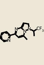 CC1=CC(c2ccccn2)=NC2=CCN(C(C)C(F)(F)F)N12